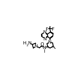 C[C@H]1C[C@@H](N(I)C(=O)CN2CC(N)C2)CN(c2ccc(C(C)(F)F)c3nccnc23)C1